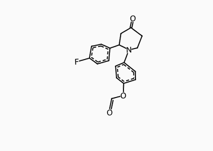 O=COc1ccc(N2CCC(=O)CC2c2ccc(F)cc2)cc1